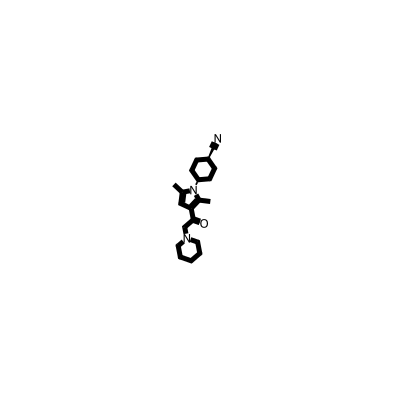 Cc1cc(C(=O)CN2CCCCC2)c(C)n1[C@H]1CC[C@H](C#N)CC1